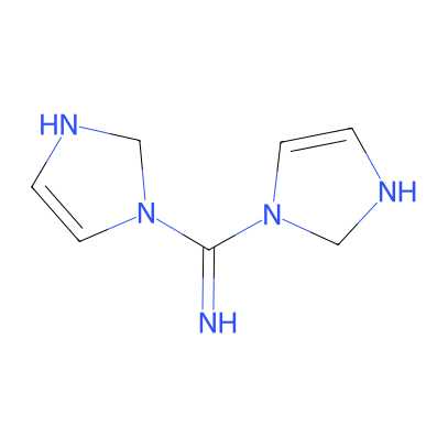 N=C(N1C=CNC1)N1C=CNC1